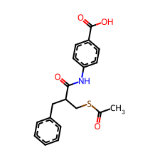 CC(=O)SCC(Cc1ccccc1)C(=O)Nc1ccc(C(=O)O)cc1